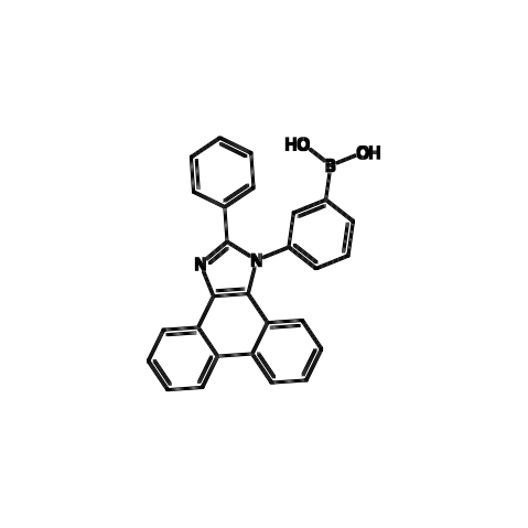 OB(O)c1cccc(-n2c(-c3ccccc3)nc3c4ccccc4c4ccccc4c32)c1